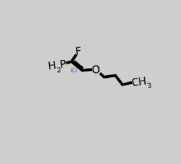 CCCCO/C=C(\F)P